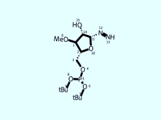 COC1[C@@H](COP(OC(C)(C)C)OC(C)(C)C)O[C@@H](N=N)[C@H]1O